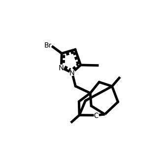 Cc1cc(Br)nn1CC12CC3CC(C)(CC(C)(C3)C1)C2